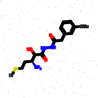 CCSCC[C@@H](N)C(O)C(=O)NNC(=O)Cc1cccc(OC)c1